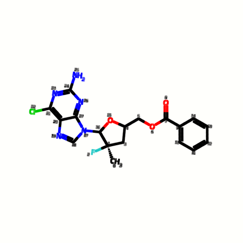 C[C@@]1(F)CC(COC(=O)c2ccccc2)OC1n1cnc2c(Cl)nc(N)nc21